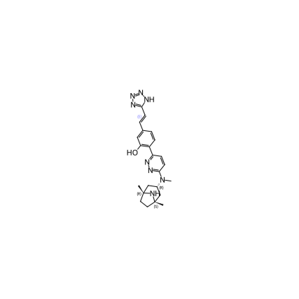 CN(c1ccc(-c2ccc(/C=C/c3nnn[nH]3)cc2O)nn1)[C@@H]1C[C@]2(C)CC[C@](C)(C1)N2